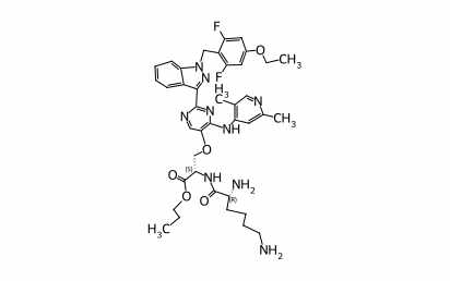 CCCOC(=O)[C@H](COc1cnc(-c2nn(Cc3c(F)cc(OCC)cc3F)c3ccccc23)nc1Nc1cc(C)ncc1C)NC(=O)[C@H](N)CCCCN